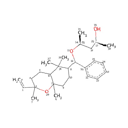 C=CC1(C)CCC2C(C)(CCC(C(O[C@@H](C)C[C@H](C)O)c3ccccc3)C2(C)C)O1